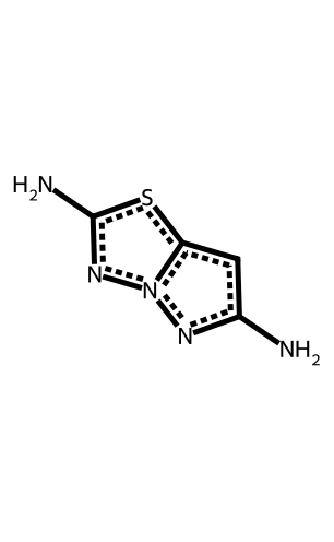 Nc1cc2sc(N)nn2n1